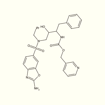 CC(C)CN(CC(O)C(Cc1ccccc1)NC(=O)OCc1cccnc1)S(=O)(=O)c1ccc2nc(N)oc2c1